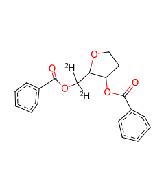 [2H]C([2H])(OC(=O)c1ccccc1)C1OCCC1OC(=O)c1ccccc1